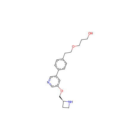 OCCCOCCc1ccc(-c2cncc(OC[C@@H]3CCN3)c2)cc1